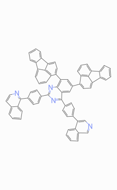 c1ccc2c(c1)-c1cccc3c(-c4cc(-c5ccc6c7c(cccc57)-c5ccccc5-6)c5nc(-c6ccc(-c7nccc8ccccc78)cc6)nc(-c6ccc(-c7cncc8ccccc78)cc6)c5c4)ccc-2c13